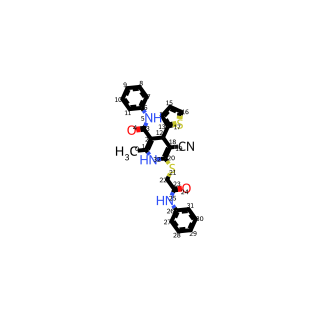 CC1=C(C(=O)Nc2ccccc2)C(c2cccs2)C(C#N)=C(SCC(=O)Nc2ccccc2)N1